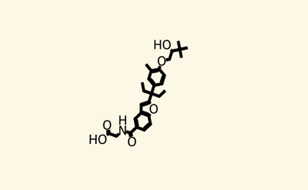 CCC(CC)(c1ccc(OCC(O)C(C)(C)C)c(C)c1)c1cc2cc(C(=O)NCC(=O)O)ccc2o1